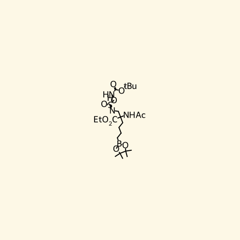 CCOC(=O)C(CCCCB1OC(C)(C)C(C)(C)O1)(CN=[SH](=O)ONC(=O)OC(C)(C)C)NC(C)=O